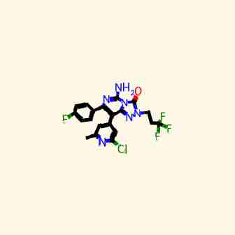 Cc1cc(-c2c(-c3ccc(F)cc3)nc(N)n3c(=O)n(CCC(F)(F)F)nc23)cc(Cl)n1